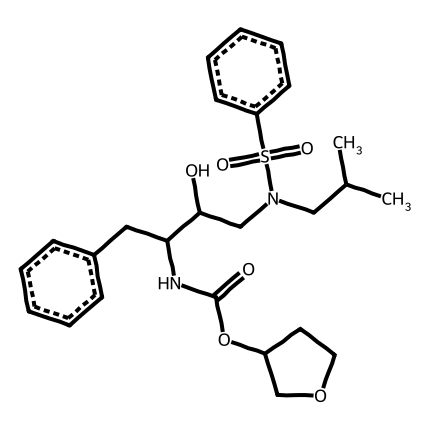 CC(C)CN(CC(O)C(Cc1ccccc1)NC(=O)OC1CCOC1)S(=O)(=O)c1ccccc1